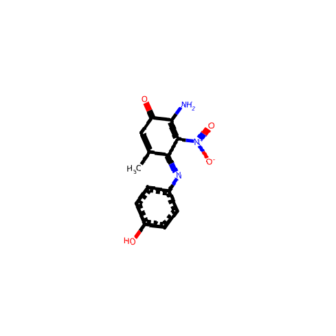 CC1=CC(=O)C(N)=C([N+](=O)[O-])C1=Nc1ccc(O)cc1